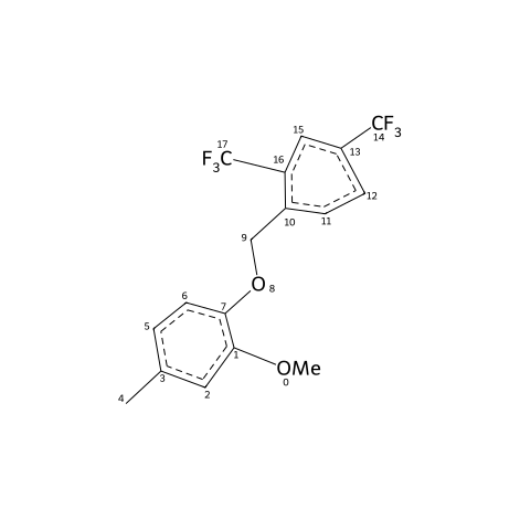 COc1cc(C)ccc1OCc1ccc(C(F)(F)F)cc1C(F)(F)F